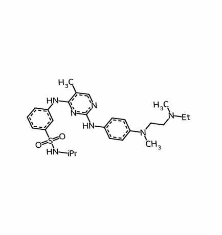 CCN(C)CCN(C)c1ccc(Nc2ncc(C)c(Nc3cccc(S(=O)(=O)NC(C)C)c3)n2)cc1